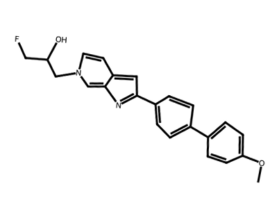 COc1ccc(-c2ccc(-c3cc4ccn(CC(O)CF)cc-4n3)cc2)cc1